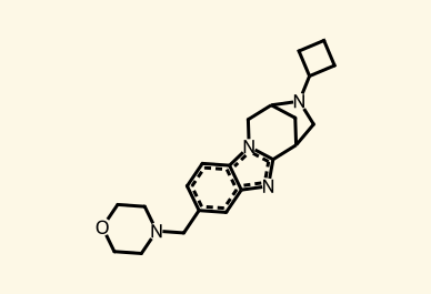 c1cc2c(cc1CN1CCOCC1)nc1n2CC2CC1CN2C1CCC1